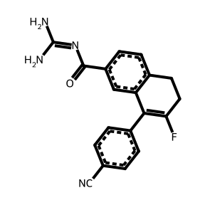 N#Cc1ccc(C2=C(F)CCc3ccc(C(=O)N=C(N)N)cc32)cc1